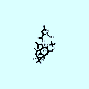 CC1=C[C@]23C(=O)[C@@H](C=C4COC(C)(C)O[C@H]4[C@]2(O)[C@H]1OC(=O)c1cc(C)nn1C(C)(C)C)[C@H]1[C@@H](C[C@H]3C)C1(C)C